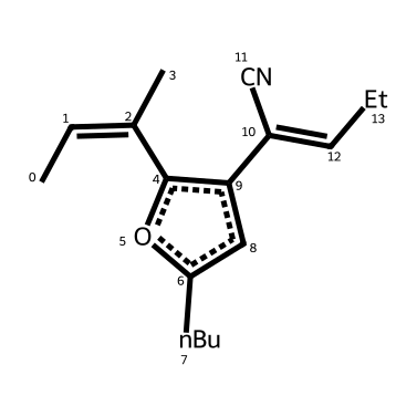 C/C=C(/C)c1oc(CCCC)cc1/C(C#N)=C/CC